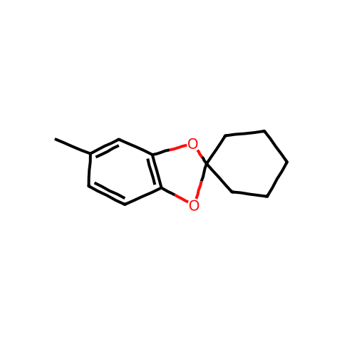 Cc1ccc2c(c1)OC1(CCCCC1)O2